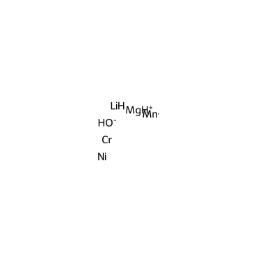 [Cr].[LiH].[MgH+].[Mn].[Ni].[OH-]